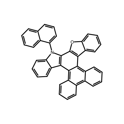 c1ccc2c(-n3c4ccccc4c4c5c6ccccc6c6ccccc6c5c5c6ccccc6oc5c43)cccc2c1